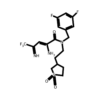 N=C(/C=C(\N)C(=O)N(CCC1CCS(=O)(=O)C1)Cc1cc(F)cc(F)c1)C(F)(F)F